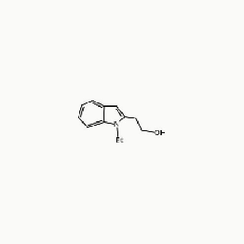 CCn1c(CCO)cc2ccccc21